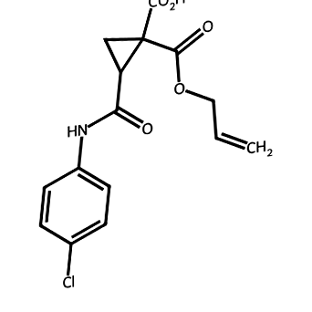 C=CCOC(=O)C1(C(=O)O)CC1C(=O)Nc1ccc(Cl)cc1